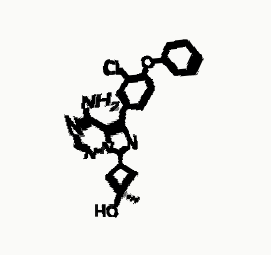 C[C@]1(O)C[C@@H](c2nc(-c3ccc(Oc4ccccc4)c(Cl)c3)c3c(N)ncnn32)C1